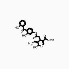 C/C=C1\C(O)OC=C(C(=O)OC)C1CC(=O)Oc1ccc(C(=O)c2ccccc2O)c(O)c1